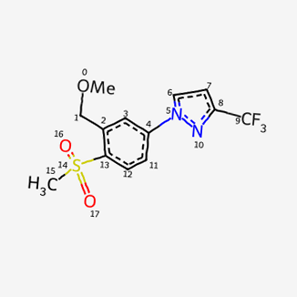 COCc1cc(-n2ccc(C(F)(F)F)n2)ccc1S(C)(=O)=O